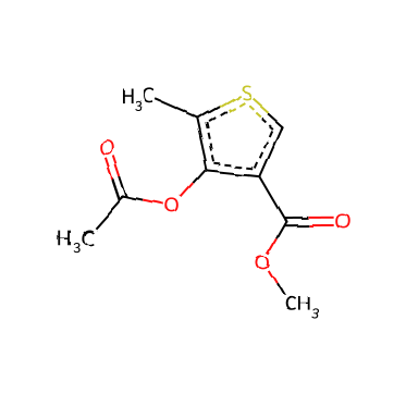 COC(=O)c1csc(C)c1OC(C)=O